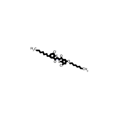 CCCCCCCCOc1cc(Cl)c2c(c1)C(=O)/C(=C1\Sc3c(Cl)cc(CCCCCCCC)cc3C1=O)S2